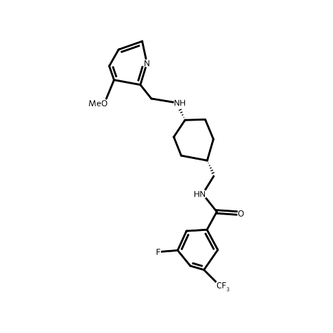 COc1cccnc1CN[C@H]1CC[C@@H](CNC(=O)c2cc(F)cc(C(F)(F)F)c2)CC1